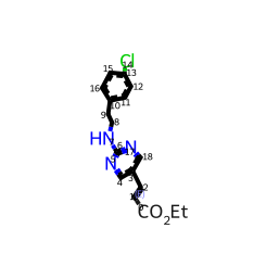 CCOC(=O)/C=C/c1cnc(NCCc2ccc(Cl)cc2)nc1